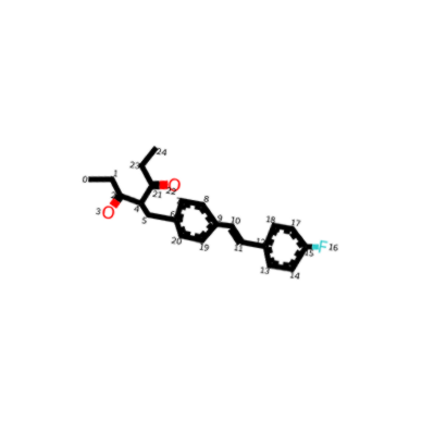 CCC(=O)C(Cc1ccc(C=Cc2ccc(F)cc2)cc1)C(=O)CC